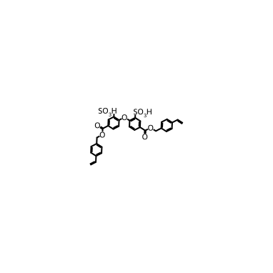 C=Cc1ccc(COC(=O)c2ccc(Oc3ccc(C(=O)OCc4ccc(C=C)cc4)cc3S(=O)(=O)O)c(S(=O)(=O)O)c2)cc1